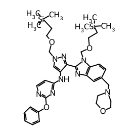 C[Si](C)(C)CCOCn1cc(Nc2ccnc(Oc3ccccc3)n2)c(-c2nc3cc(CN4CCOCC4)ccc3n2COCC[Si](C)(C)C)n1